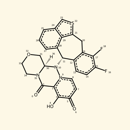 O=C1c2c(O)c(=O)ccn2N([C@H]2c3ccc(F)c(F)c3Cc3scc4cccc2c34)[C@@H]2COCCN12